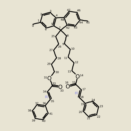 Cc1ccc2c(c1)C(CCCCCCOC(=O)/C=C/c1ccccc1)(CCCCCCOC(=O)/C=C/c1ccccc1)c1cc(C)ccc1-2